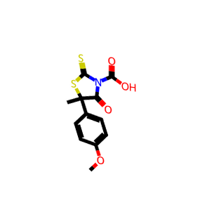 COc1ccc(C2(C)SC(=S)N(C(=O)O)C2=O)cc1